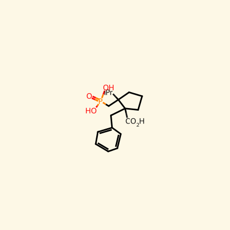 CC(C)C1(CP(=O)(O)O)CCCC1(Cc1ccccc1)C(=O)O